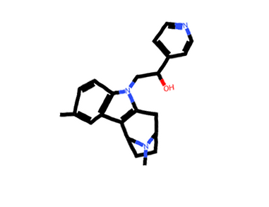 Cc1ccc2c(c1)c1c(n2CC(O)c2ccncc2)CC2CCC1N2C